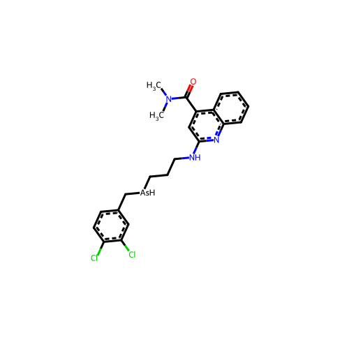 CN(C)C(=O)c1cc(NCCC[AsH]Cc2ccc(Cl)c(Cl)c2)nc2ccccc12